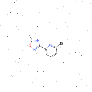 CCc1cccc(-c2noc(C)n2)n1